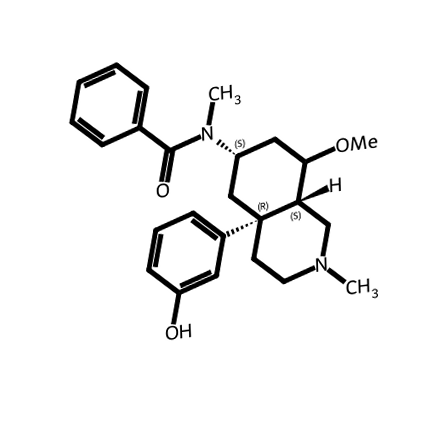 COC1C[C@@H](N(C)C(=O)c2ccccc2)C[C@]2(c3cccc(O)c3)CCN(C)C[C@@H]12